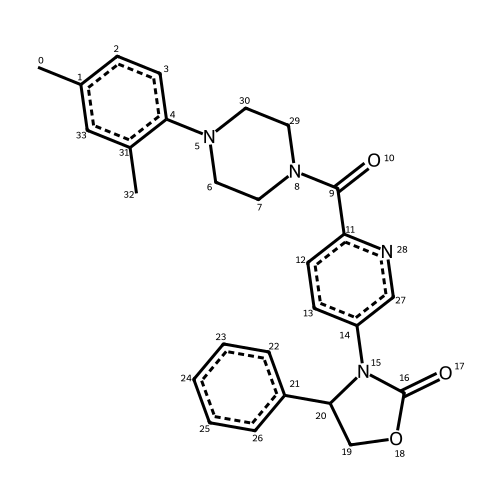 Cc1ccc(N2CCN(C(=O)c3ccc(N4C(=O)OCC4c4ccccc4)cn3)CC2)c(C)c1